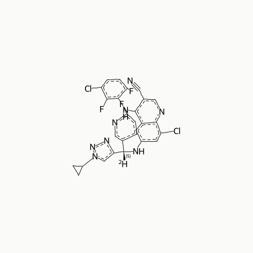 [2H][C@](Nc1cc(Cl)c2ncc(C#N)c(Nc3c(F)ccc(Cl)c3F)c2c1)(c1ccc(F)nc1)c1cn(C2CC2)nn1